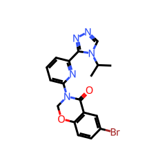 CC(C)n1cnnc1-c1cccc(N2COc3ccc(Br)cc3C2=O)n1